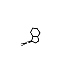 O=C=C1CCC2CCCCC12